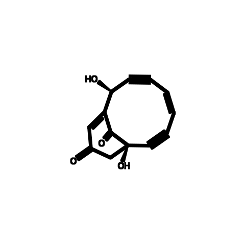 O=C1C=C2C(=O)[C@](O)(C#C/C=C\C#C[C@@H]2O)C1